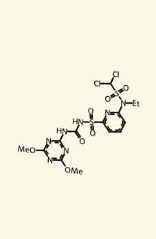 CCN(c1cccc(S(=O)(=O)NC(=O)Nc2nc(OC)nc(OC)n2)n1)S(=O)(=O)C(Cl)Cl